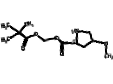 COC1CN[C@H](C(=O)OCOC(=O)C(C)(C)C)C1